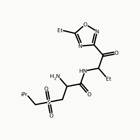 CCc1nc(C(=O)C(CC)NC(=O)C(N)CS(=O)(=O)CC(C)C)no1